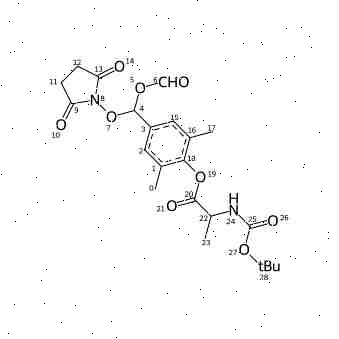 Cc1cc(C(OC=O)ON2C(=O)CCC2=O)cc(C)c1OC(=O)C(C)NC(=O)OC(C)(C)C